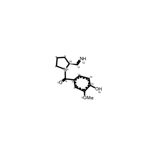 COc1cc(C(=O)N2CCC[C@H]2C=N)ccc1O